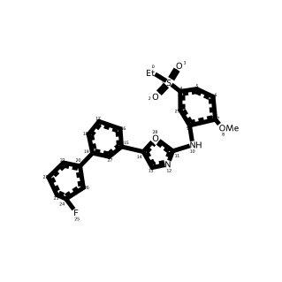 CCS(=O)(=O)c1ccc(OC)c(Nc2ncc(-c3cccc(-c4cccc(F)c4)c3)o2)c1